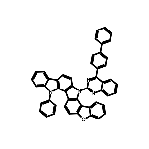 c1ccc(-c2ccc(-c3nc(-n4c5ccc6c7ccccc7n(-c7ccccc7)c6c5c5ccc6oc7ccccc7c6c54)nc4ccccc34)cc2)cc1